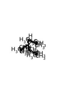 CC(CCC(CCC(C)(C)CNCCC(C)(C)C)CNCCC(C)(C)C)NCCCC(C)(C)C